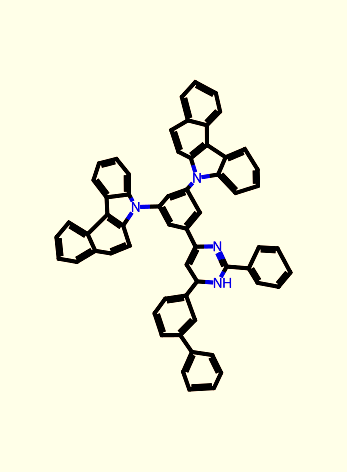 C1=C(c2cc(-n3c4ccccc4c4c5ccccc5ccc43)cc(-n3c4ccccc4c4c5ccccc5ccc43)c2)N=C(c2ccccc2)NC1c1cccc(-c2ccccc2)c1